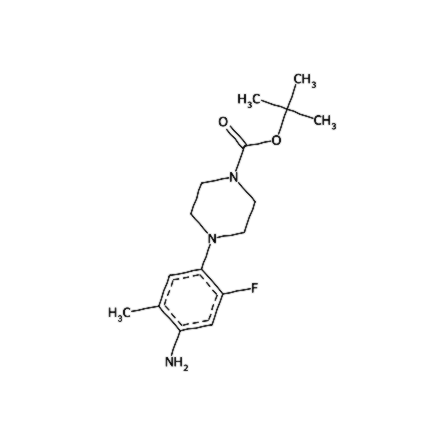 Cc1cc(N2CCN(C(=O)OC(C)(C)C)CC2)c(F)cc1N